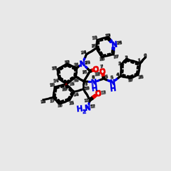 Cc1ccc(NC(=O)NC2(C(C(N)=O)c3ccc(C)cc3)C(=O)N(Cc3ccncc3)c3ccccc32)cc1